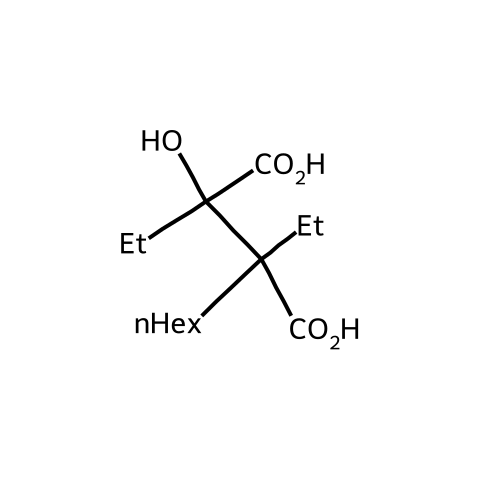 CCCCCCC(CC)(C(=O)O)C(O)(CC)C(=O)O